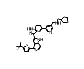 CC(=O)c1ccc(-c2nccc3[nH]c(-c4n[nH]c5ccc(-c6cncc(CNCC7CCCC7)c6)cc45)cc23)s1